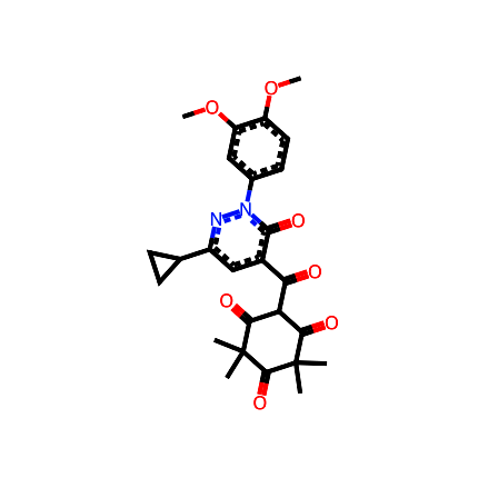 COc1ccc(-n2nc(C3CC3)cc(C(=O)C3C(=O)C(C)(C)C(=O)C(C)(C)C3=O)c2=O)cc1OC